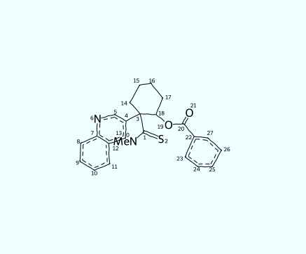 CNC(=S)C1(c2cnc3ccccc3c2)CCCCC1OC(=O)c1ccccc1